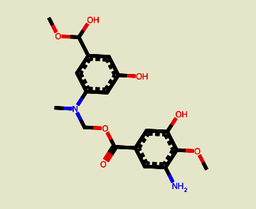 COc1c(N)cc(C(=O)OCN(C)c2cc(O)cc(C(O)OC)c2)cc1O